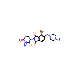 O=C1CCC(N2C(=O)c3ccc(CN4CCNCC4)c(Br)c3C2=O)C(=O)N1